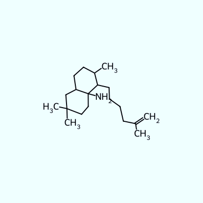 C=C(C)CCCCC1C(C)CCC2CC(C)(C)CCC21N